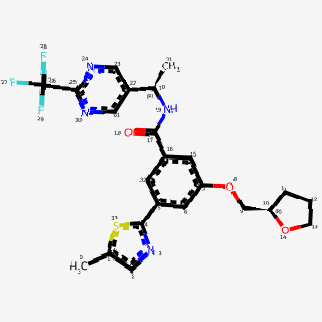 Cc1cnc(-c2cc(OC[C@H]3CCCO3)cc(C(=O)N[C@H](C)c3cnc(C(F)(F)F)nc3)c2)s1